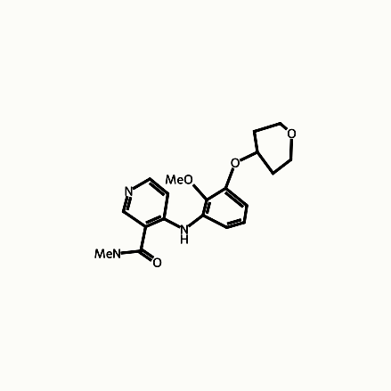 CNC(=O)c1cnccc1Nc1cccc(OC2CCOCC2)c1OC